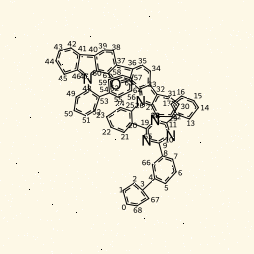 c1ccc(-c2cccc(-c3nc(-c4ccccc4)nc(-c4ccccc4-n4c5ccccc5c5ccc6c7ccc8c9ccccc9n(-c9ccccc9-c9ccccc9)c8c7oc6c54)n3)c2)cc1